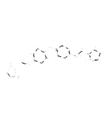 C1=CNC(/C=N/c2ccc(Cc3ccc(/N=C/c4ccc[nH]4)cc3)cc2)C1